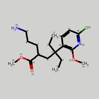 CCC(CC)(CC(CCCN)C(=O)OC)c1ccc(Cl)nc1OC